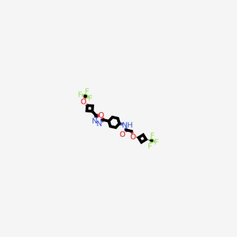 O=C(CO[C@H]1C[C@@H](C(F)(F)F)C1)NC1CCC(c2nnc(C3CC(OC(F)(F)F)C3)o2)CC1